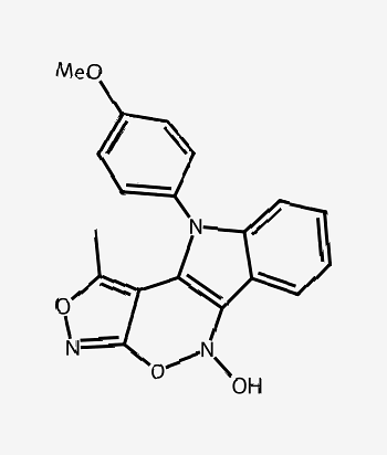 COc1ccc(-n2c3c(c4ccccc42)N(O)Oc2noc(C)c2-3)cc1